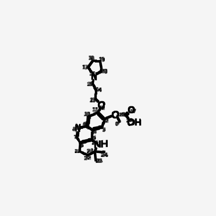 COc1cc2c3c(cnc2cc1OCCCN1CCCC1)CCC(C)(C)N3.O=CO